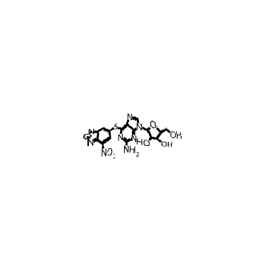 Nc1nc(Sc2cc([N+](=O)[O-])c3nonc3c2)c2ncn(C3OC(CO)C(O)C3O)c2n1